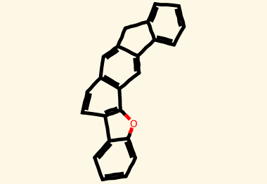 c1ccc2c(c1)Cc1cc3ccc4c5ccccc5oc4c3cc1-2